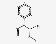 C=CC(c1ccccc1)C(P)CC